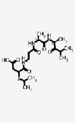 CC(C)SC(CC(=O)O)C(=O)NCCC(=O)N[C@@H](C)C(=O)N[C@@H](C)C(=O)C(C)C